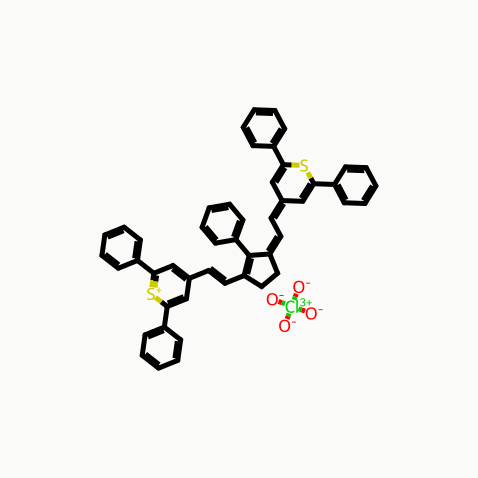 C(/C=C1/CCC(/C=C/c2cc(-c3ccccc3)[s+]c(-c3ccccc3)c2)=C1c1ccccc1)=C1C=C(c2ccccc2)SC(c2ccccc2)=C1.[O-][Cl+3]([O-])([O-])[O-]